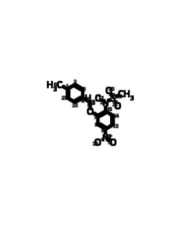 Cc1ccc(COc2cc([N+](=O)[O-])ccc2N(C)S(C)(=O)=O)cc1